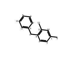 Cc1ccc(Cc2[c]cccc2)c(C)c1